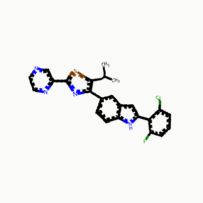 CC(C)c1sc(-c2cnccn2)nc1-c1ccc2[nH]c(-c3c(F)cccc3Cl)cc2c1